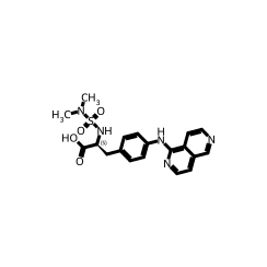 CN(C)S(=O)(=O)N[C@@H](Cc1ccc(Nc2nccc3cnccc23)cc1)C(=O)O